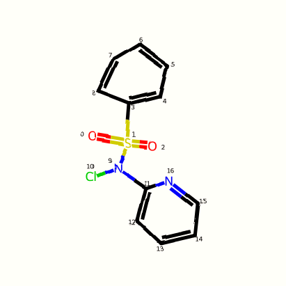 O=S(=O)(c1ccccc1)N(Cl)c1ccccn1